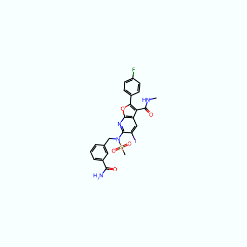 CNC(=O)c1c(-c2ccc(F)cc2)oc2nc(N(Cc3cccc(C(N)=O)c3)S(C)(=O)=O)c(I)cc12